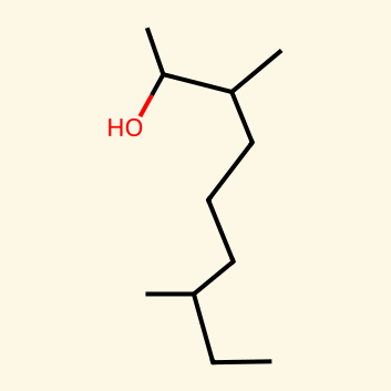 CCC(C)CCCC(C)C(C)O